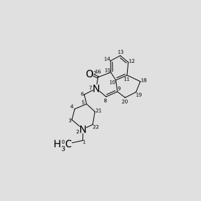 CCN1CCC(Cn2cc3c4c(cccc4c2=O)CCC3)CC1